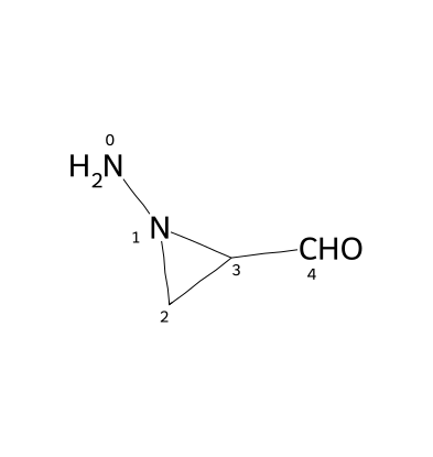 NN1CC1C=O